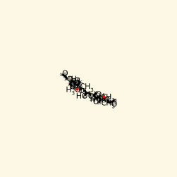 CC(C)(OCC(O)CO[C@H]1CO[C@H]2[C@@H]1OC[C@H]2C(C)(C)OCC1CO1)[C@@H]1CO[C@H]2[C@@H]1OC[C@@H]2OCC1CO1